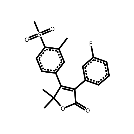 Cc1cc(C2=C(c3cccc(F)c3)C(=O)OC2(C)C)ccc1S(C)(=O)=O